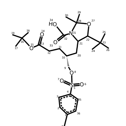 Cc1ccc(S(=O)(=O)OC[C@H](CCC(=O)OC(C)(C)C)CC2C(C(C)(C)C)OC(C)(C)N2C(=O)O)cc1